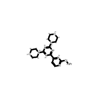 CCCOc1nccc(-c2nc(N3CCOCC3)nc(N3CCOCC3)n2)n1